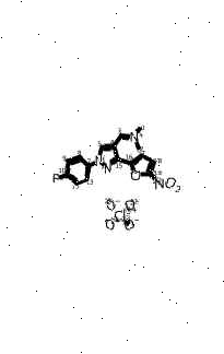 C[N+](C)=Cc1cn(-c2ccc(F)cc2)nc1-c1ccc([N+](=O)[O-])o1.[O-][Cl+3]([O-])([O-])[O-]